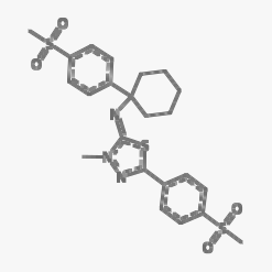 Cn1nc(-c2ccc(S(C)(=O)=O)cc2)sc1=NC1(c2ccc(S(C)(=O)=O)cc2)CCCCC1